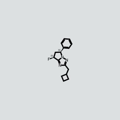 F[C@H]1C[C@@H](c2ccccc2)n2nc(CC3CCC3)nc21